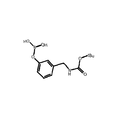 CC(C)(C)OC(=O)NCc1cccc(OB(O)O)c1